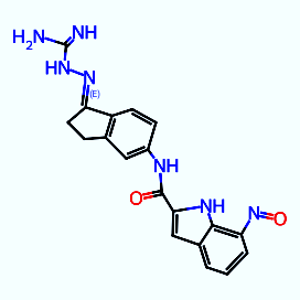 N=C(N)N/N=C1\CCc2cc(NC(=O)c3cc4cccc(N=O)c4[nH]3)ccc21